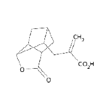 C=C(CC1C2CC3C(=O)OC1C3C2)C(=O)O